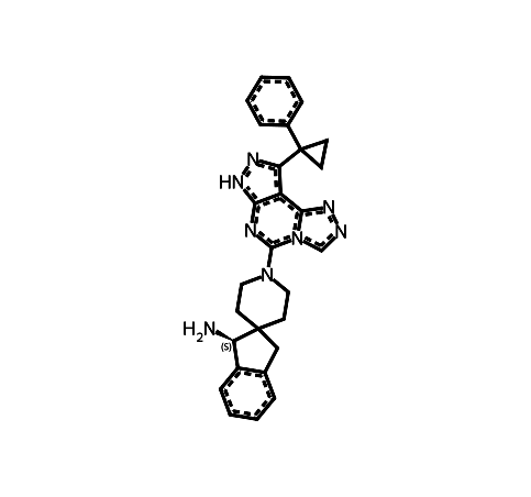 N[C@@H]1c2ccccc2CC12CCN(c1nc3[nH]nc(C4(c5ccccc5)CC4)c3c3nncn13)CC2